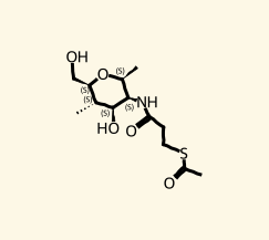 CC(=O)SCCC(=O)N[C@H]1[C@@H](O)[C@H](C)[C@@H](CO)O[C@H]1C